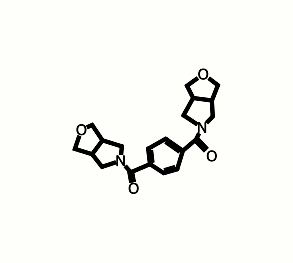 O=C(c1ccc(C(=O)N2CC3COCC3C2)cc1)N1CC2COCC2C1